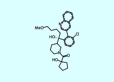 COCCCC[C@@](O)(c1cccc(Cl)c1-c1cnc2ccccc2c1)C1CCCN(C(=O)C2(O)CCCC2)C1